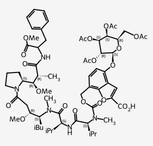 CCC(C)[C@@H]([C@@H](CC(=O)N1CCC[C@H]1[C@H](OC)[C@@H](C)C(=O)NC(Cc1ccccc1)C(=O)OC)OC)N(C)C(=O)[C@@H](NC(=O)[C@H](C(C)C)N(C)C(=O)OCc1ccc(O[C@@H]2O[C@H](COC(C)=O)[C@H](OC(C)=O)[C@H](OC(C)=O)[C@H]2OC(C)=O)c2cc(C(=O)O)oc12)C(C)C